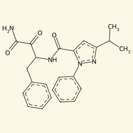 CC(C)c1cc(C(=O)NC(Cc2ccccc2)C(=O)C(N)=O)n(-c2ccccc2)n1